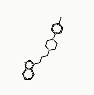 Fc1ccc(N2CCN(CCCn3cnc4ccccc43)CC2)cc1